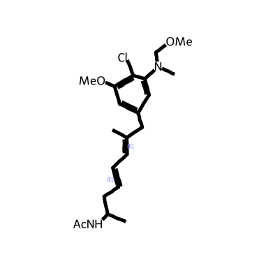 COCN(C)c1cc(C/C(C)=C/C=C/CC(C)NC(C)=O)cc(OC)c1Cl